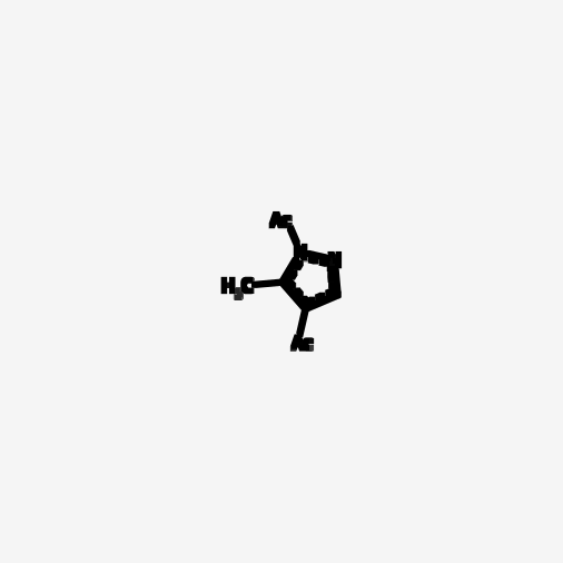 CC(=O)c1cnn(C(C)=O)c1C